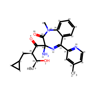 CCCC[C@H](O)[C@@H](CC1CC1)C(=O)C1(N)N=C(c2cc(C(F)(F)F)ccn2)c2ccccc2N(C)C1=O